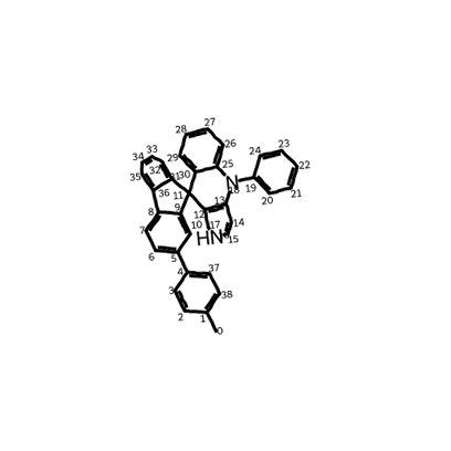 Cc1ccc(-c2ccc3c(c2)C2(C4=C(C=CNC4)N(c4ccccc4)c4ccccc42)c2ccccc2-3)cc1